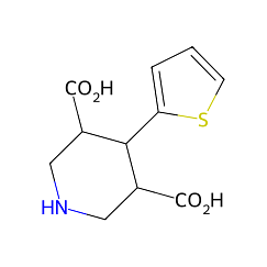 O=C(O)C1CNCC(C(=O)O)C1c1cccs1